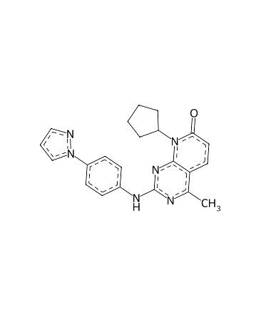 Cc1nc(Nc2ccc(-n3cccn3)cc2)nc2c1ccc(=O)n2C1CCCC1